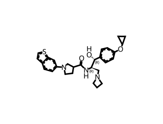 O=C(N[C@H](CN1CCC1)[C@H](O)c1ccc(OC2CC2)cc1)C1CCN(c2ccc3ccsc3c2)C1